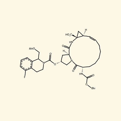 COCC1c2cccc(F)c2CCN1C(=O)O[C@@H]1C[C@H]2C(=O)N[C@]3(C(=O)O)C[C@H]3/C=C\CCCCC[C@H](NC(=O)OC(C)(C)C)C(=O)N2C1